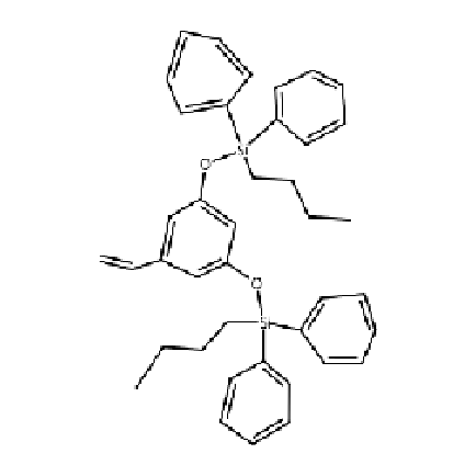 C=Cc1cc(O[Si](CCCC)(c2ccccc2)c2ccccc2)cc(O[Si](CCCC)(c2ccccc2)c2ccccc2)c1